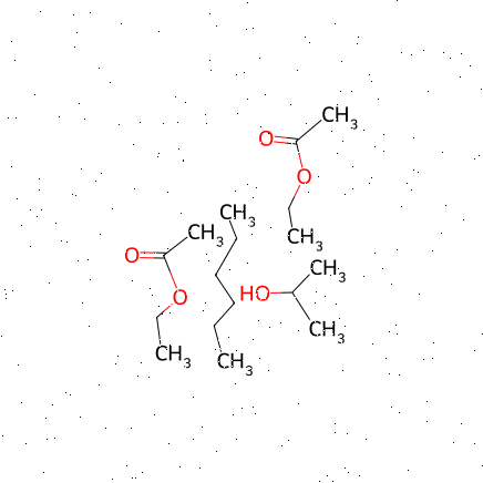 CC(C)O.CCCCCC.CCOC(C)=O.CCOC(C)=O